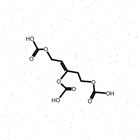 O=C(O)OCC=C(CCOC(=O)O)OC(=O)O